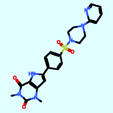 Cn1c(=O)c2[nH]c(-c3ccc(S(=O)(=O)N4CCN(c5ccccn5)CC4)cc3)cc2n(C)c1=O